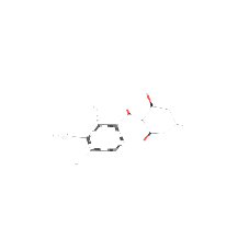 CNc1c(Cl)ccc(C(=O)C2C(=O)CC(C)CC2=O)c1[N+](=O)[O-]